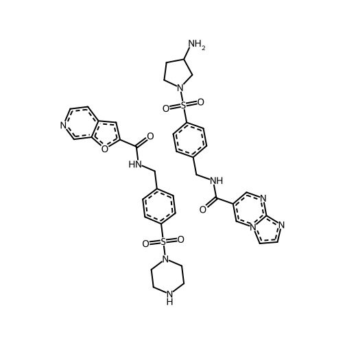 NC1CCN(S(=O)(=O)c2ccc(CNC(=O)c3cnc4nccn4c3)cc2)C1.O=C(NCc1ccc(S(=O)(=O)N2CCNCC2)cc1)c1cc2ccncc2o1